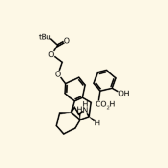 CC(C)(C)C(=O)OCOc1ccc2c(c1)[C@@]13CCCC[C@H]1[C@@H](C2)NCC3.O=C(O)c1ccccc1O